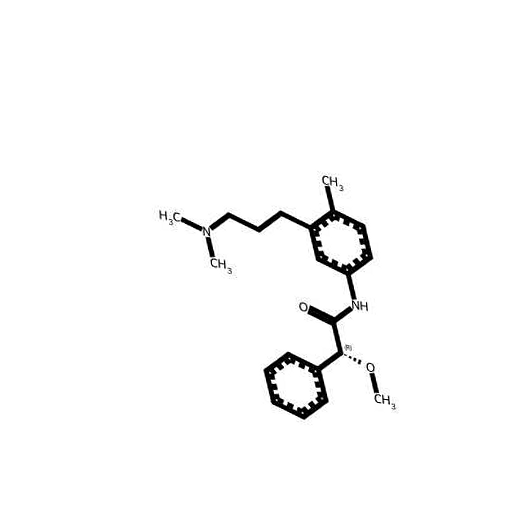 CO[C@@H](C(=O)Nc1ccc(C)c(CCCN(C)C)c1)c1ccccc1